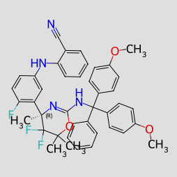 COc1ccc(C(NC2=N[C@](C)(c3cc(Nc4ccccc4C#N)ccc3F)C(F)(F)C(C)(C)O2)(c2ccccc2)c2ccc(OC)cc2)cc1